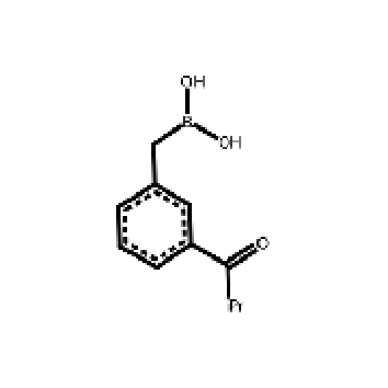 CC(C)C(=O)c1cccc(CB(O)O)c1